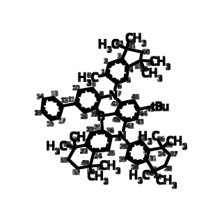 Cc1cc2c(cc1N1c3ccc(-c4ccccc4)cc3B3c4cc5c(cc4N(c4ccc6c(c4)C(C)(C)CCC6(C)C)c4cc(C(C)(C)C)cc1c43)C(C)(C)CCC5(C)C)C(C)(C)CC2(C)C